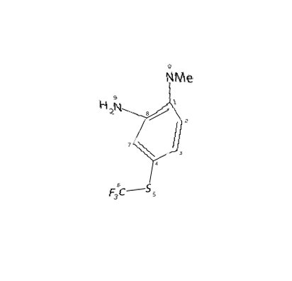 CNc1ccc(SC(F)(F)F)cc1N